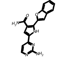 NC(=O)c1cc(-c2ccnc(N)n2)[nH]c1-c1cc2ccccc2o1